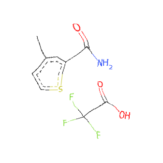 Cc1ccsc1C(N)=O.O=C(O)C(F)(F)F